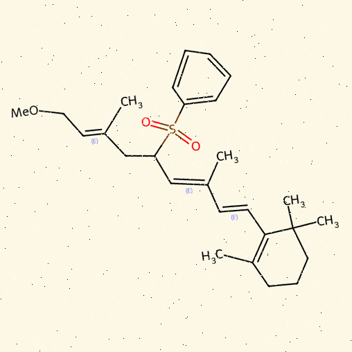 COC/C=C(\C)CC(/C=C(C)/C=C/C1=C(C)CCCC1(C)C)S(=O)(=O)c1ccccc1